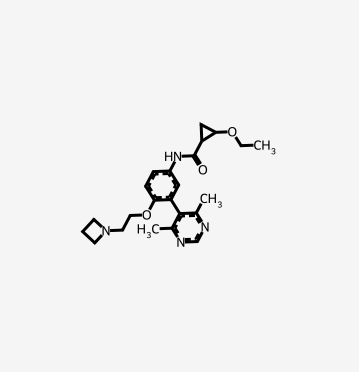 CCOC1CC1C(=O)Nc1ccc(OCCN2CCC2)c(-c2c(C)ncnc2C)c1